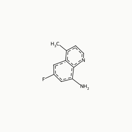 Cc1ccnc2c(N)cc(F)cc12